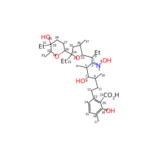 CCC(C(=NO)C(C)C(O)C(C)CCc1ccc(C)c(O)c1C(=O)O)C1OC(CC)(C2CCC(O)(CC)C(C)O2)CC1C